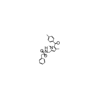 Cc1ccc(C(=O)c2c(C)cc(CNS(=O)(=O)Cc3ccccc3)n2C)cc1